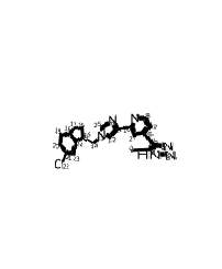 Cc1[nH]nnc1-c1ccnc(-c2cn(C[C@@H]3CCc4ccc(Cl)cc43)cn2)c1